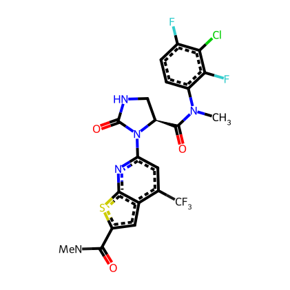 CNC(=O)c1cc2c(C(F)(F)F)cc(N3C(=O)NC[C@H]3C(=O)N(C)c3ccc(F)c(Cl)c3F)nc2s1